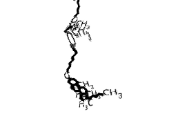 CCCCCCCOC[C@H](COCCCCCCCCO[C@H]1CC[C@@]2(C)C(=CC[C@H]3[C@@H]4CC[C@H]([C@H](C)CCCCC)[C@@]4(C)CC[C@@H]32)C1)N(C)C